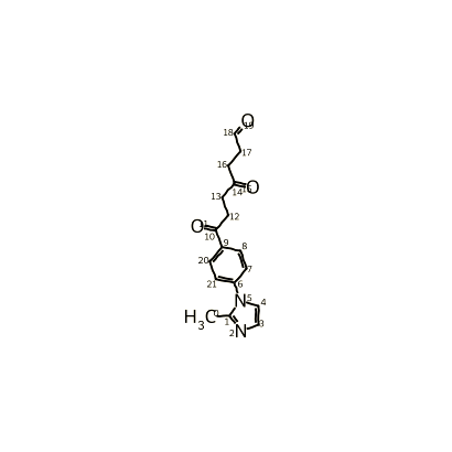 Cc1nccn1-c1ccc(C(=O)CCC(=O)CCC=O)cc1